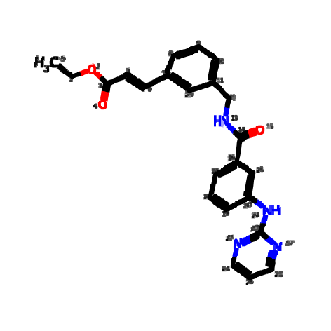 CCOC(=O)C=Cc1cccc(CNC(=O)c2cccc(Nc3ncccn3)c2)c1